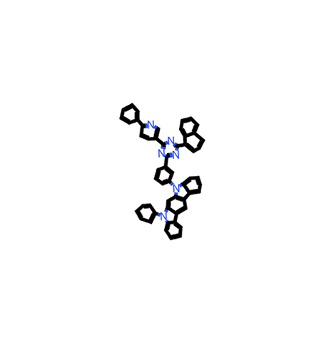 c1ccc(-c2ccc(-c3nc(-c4cccc(-n5c6ccccc6c6cc7c8ccccc8n(-c8ccccc8)c7cc65)c4)nc(-c4cccc5ccccc45)n3)cn2)cc1